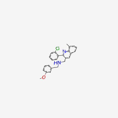 COc1cccc(CNCc2cc3cccc(C)c3nc2-c2ccccc2Cl)c1